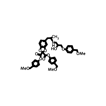 COCc1ccc(OCC(O)CNC(C)Cc2ccc3c(c2)OC(C(=O)Oc2ccc(COC)cc2)(C(=O)Oc2ccc(COC)cc2)O3)cc1